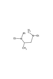 CCN(C)CC(C)N(CC)C(C)C